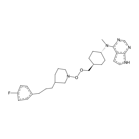 CN(c1ncnc2[nH]ccc12)[C@H]1CC[C@H](COON2CCCC(CCCc3ccc(F)cc3)C2)CC1